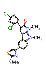 CNc1nc(-c2ccc3c(c2)c2cc(-c4ccc(Cl)cc4Cl)c(=O)n(C)c2n3C)cs1